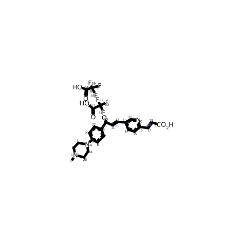 CN1CCN(c2ccc(C(=O)/C=C/c3ccc(/C=C/C(=O)O)nc3)cc2)CC1.O=C(O)C(F)(F)F.O=C(O)C(F)(F)F